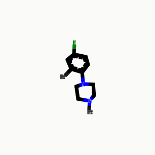 CCc1cc(F)ccc1N1CCN(CC)CC1